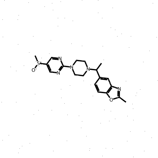 Cc1nc2cc(C(C)N3CCN(c4ncc([S+](C)[O-])cn4)CC3)ccc2o1